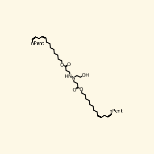 CCCCC/C=C\C/C=C\CCCCCCCCOC(=O)CCNN(CCO)CCC(=O)OCCCCCCCC/C=C\C/C=C\CCCCC